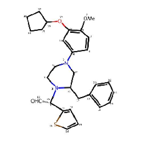 COc1ccc(N2CCN([C@@H](C=O)c3cccs3)C(Cc3ccccc3)C2)cc1OC1CCCC1